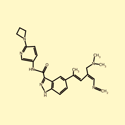 C=N/C=C(\C=C(/C)c1ccc2[nH]nc(C(=O)Nc3ccc(N4CCC4)nc3)c2c1)CN(C)C